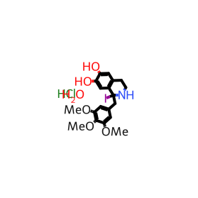 COc1cc(CC2(I)NCCc3cc(O)c(O)cc32)cc(OC)c1OC.Cl.O